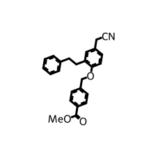 COC(=O)c1ccc(COc2ccc(CC#N)cc2CCc2ccccc2)cc1